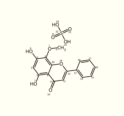 COc1c(O)cc(O)c2c(=O)cc(-c3ccccc3)oc12.O=S(=O)(O)O